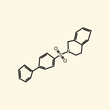 O=S(=O)(c1ccc(-c2ccccc2)cc1)N1CCc2ccccc2C1